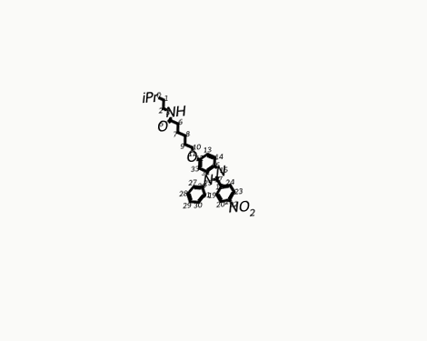 CC(C)CCNC(=O)CCCCCOc1ccc2nc(-c3ccc([N+](=O)[O-])cc3)n(-c3ccccc3)c2c1